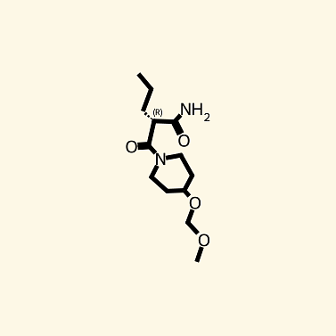 CCC[C@H](C(N)=O)C(=O)N1CCC(OCOC)CC1